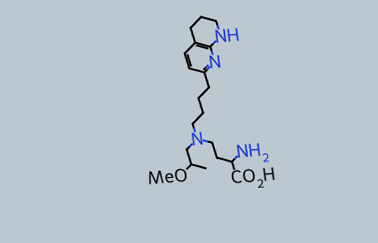 COC(C)CN(CCCCc1ccc2c(n1)NCCC2)CCC(N)C(=O)O